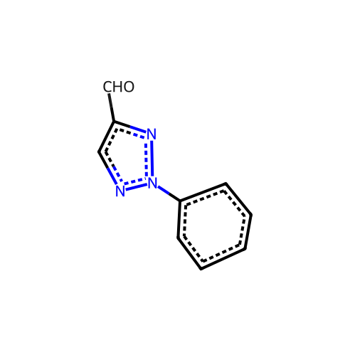 O=Cc1cnn(-c2ccccc2)n1